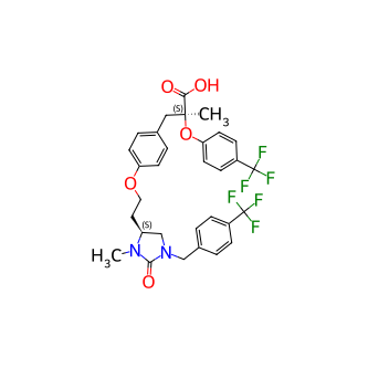 CN1C(=O)N(Cc2ccc(C(F)(F)F)cc2)C[C@@H]1CCOc1ccc(C[C@](C)(Oc2ccc(C(F)(F)F)cc2)C(=O)O)cc1